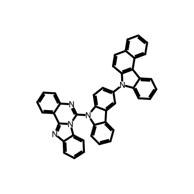 c1ccc2c(c1)ccc1c2c2ccccc2n1-c1ccc2c(c1)c1ccccc1n2-c1nc2ccccc2c2nc3ccccc3n12